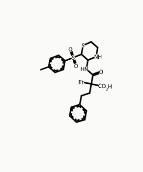 CCC(CCc1ccccc1)(C(=O)O)C(=O)NC1NCCSC1S(=O)(=O)c1ccc(C)cc1